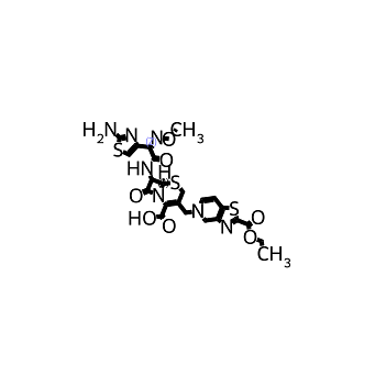 CCOC(=O)c1nc2c(s1)C=CN(CC1=C(C(=O)O)N3C(=O)C(NC(=O)/C(=N\OC)c4csc(N)n4)[C@H]3SC1)C2